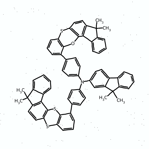 CC1(C)c2ccccc2-c2ccc(N(c3ccc(-c4cccc5c4Oc4c(ccc6c4-c4ccccc4C6(C)C)S5)cc3)c3ccc(-c4cccc5c4Sc4c(ccc6c4-c4ccccc4C6(C)C)S5)cc3)cc21